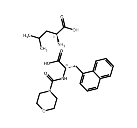 CC(C)C[C@H](N)C(=O)O.O=C(O)[C@H](Cc1cccc2ccccc12)NC(=O)N1CCOCC1